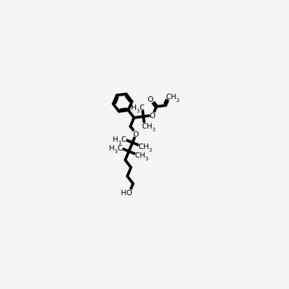 C=CC(=O)OC(C)(C)C(COC(C)(C)C(C)(C)CCCCO)c1ccccc1